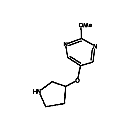 COc1ncc(OC2CCNC2)cn1